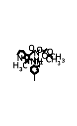 Cn1c(Nc2ccc(I)cc2F)c(C(=O)NO[C@H]2COC(C)(C)O2)c2cccnc21